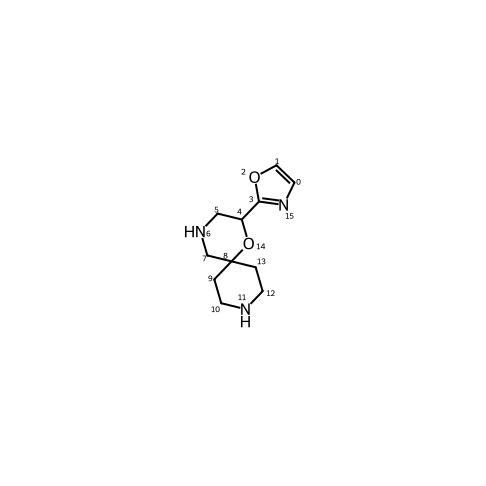 c1coc(C2CNCC3(CCNCC3)O2)n1